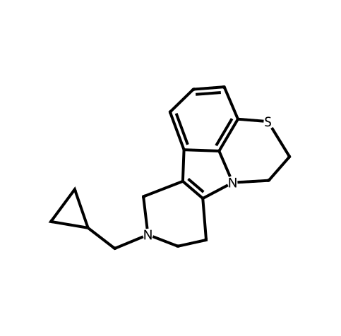 c1cc2c3c(c1)c1c(n3CCS2)CCN(CC2CC2)C1